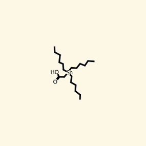 CCCCC[CH2][Sn]([CH2]CCCCC)([CH2]CCCCC)[CH2]C(=O)O